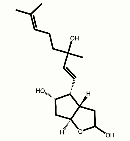 CC(C)=CCCC(C)(O)/C=C/[C@@H]1[C@@H]2CC(O)O[C@H]2C[C@@H]1O